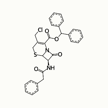 O=C(Cc1ccccc1)N[C@@H]1C(=O)N2C(C(=O)OC(c3ccccc3)c3ccccc3)=C(CCl)CSC12